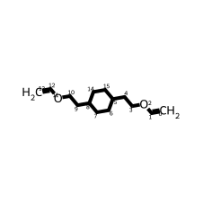 C=COCCC1CCC(CCOC=C)CC1